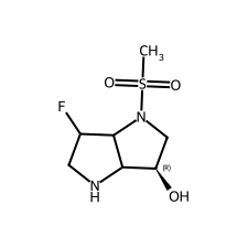 CS(=O)(=O)N1C[C@@H](O)C2NCC(F)C21